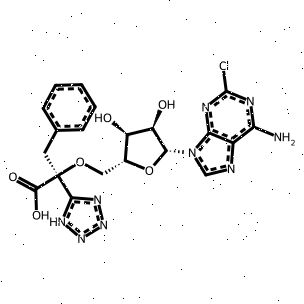 Nc1nc(Cl)nc2c1ncn2[C@@H]1O[C@H](CO[C@](Cc2ccccc2)(C(=O)O)c2nnn[nH]2)[C@@H](O)[C@H]1O